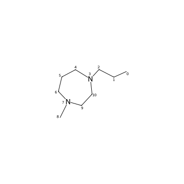 CCCN1CCCN(C)CC1